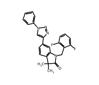 CC1(C)C(=O)N(Cc2c(F)cccc2F)c2cc(-c3cn(-c4ccccc4)nn3)ccc21